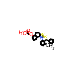 Cc1ccccc1C(Sc1nc2c(s1)CCc1c(OCC(=O)O)cccc1-2)c1ccccc1